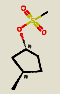 C[C@@H]1CC[C@@H](OS(C)(=O)=O)C1